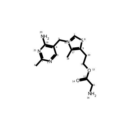 Cc1ncc(C[n+]2csc(CCOC(=O)CN)c2C)c(N)n1